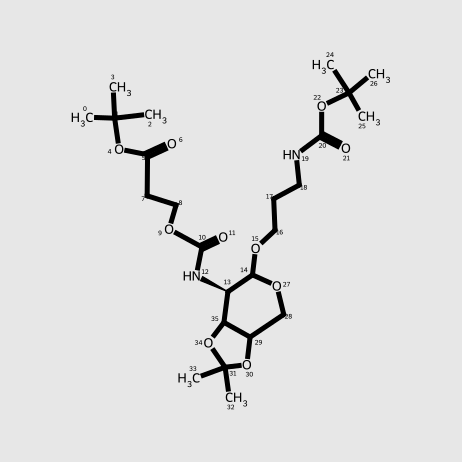 CC(C)(C)OC(=O)CCOC(=O)N[C@H]1C(OCCCNC(=O)OC(C)(C)C)OCC2OC(C)(C)OC21